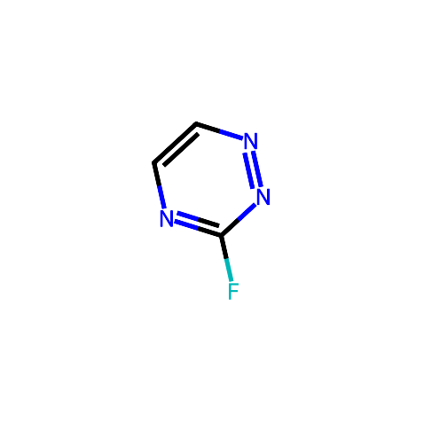 Fc1nccnn1